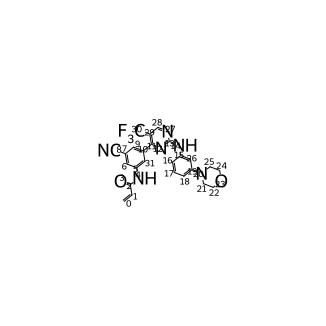 C=CC(=O)Nc1cc(C#N)cc(-c2nc(Nc3cccc(N4CCOCC4)c3)ncc2C(F)(F)F)c1